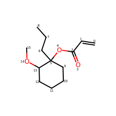 C=CC(=O)OC1(CCC)CCCCC1OC